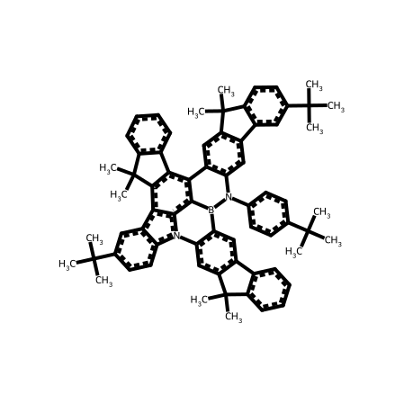 CC(C)(C)c1ccc(N2B3c4cc5c(cc4-n4c6ccc(C(C)(C)C)cc6c6c7c(c(c3c64)-c3cc4c(cc32)-c2cc(C(C)(C)C)ccc2C4(C)C)-c2ccccc2C7(C)C)C(C)(C)c2ccccc2-5)cc1